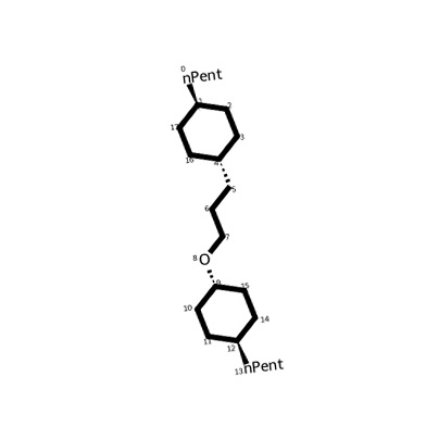 CCCCC[C@H]1CC[C@H](CCCO[C@H]2CC[C@H](CCCCC)CC2)CC1